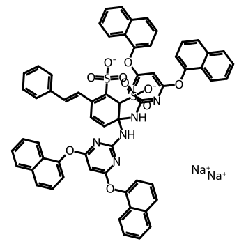 O=S(=O)([O-])C1=C(C=Cc2ccccc2)C=CC(Nc2nc(Oc3cccc4ccccc34)cc(Oc3cccc4ccccc34)n2)(Nc2nc(Oc3cccc4ccccc34)cc(Oc3cccc4ccccc34)n2)C1S(=O)(=O)[O-].[Na+].[Na+]